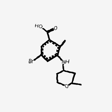 Cc1c(NC2CCOC(C)C2)cc(Br)cc1C(=O)O